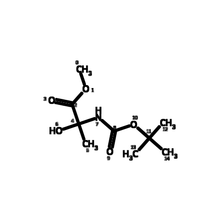 COC(=O)C(C)(O)NC(=O)OC(C)(C)C